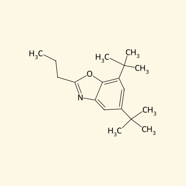 CCCc1nc2cc(C(C)(C)C)cc(C(C)(C)C)c2o1